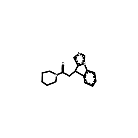 O=C(CC1c2ccccc2-n2cncc21)N1CCCCC1